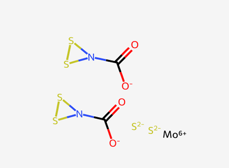 O=C([O-])n1ss1.O=C([O-])n1ss1.[Mo+6].[S-2].[S-2]